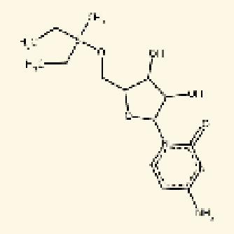 CC[Si](C)(CC)OCC1OC(n2ccc(N)nc2=O)C(O)C1O